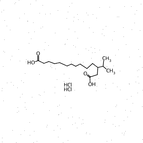 CC(C)C(CCCCCCCCCCC(=O)O)CC(=O)O.Cl.Cl